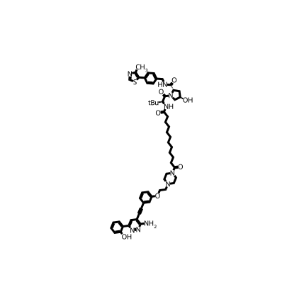 Cc1ncsc1-c1ccc(CNC(=O)[C@@H]2C[C@@H](O)CN2C(=O)[C@@H](NC(=O)CCCCCCCCCCC(=O)N2CCN(CCOc3cccc(C#Cc4cc(-c5ccccc5O)nnc4N)c3)CC2)C(C)(C)C)cc1